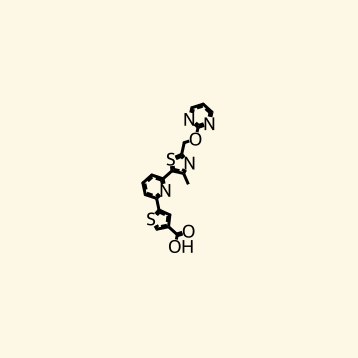 Cc1nc(COc2ncccn2)sc1-c1cccc(-c2cc(C(=O)O)cs2)n1